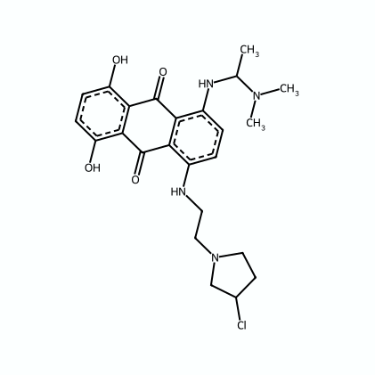 CC(Nc1ccc(NCCN2CCC(Cl)C2)c2c1C(=O)c1c(O)ccc(O)c1C2=O)N(C)C